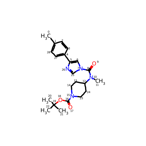 Cc1ccc(-c2cn(C(=O)N(C)C3CCN(C(=O)OC(C)(C)C)CC3)cn2)cc1